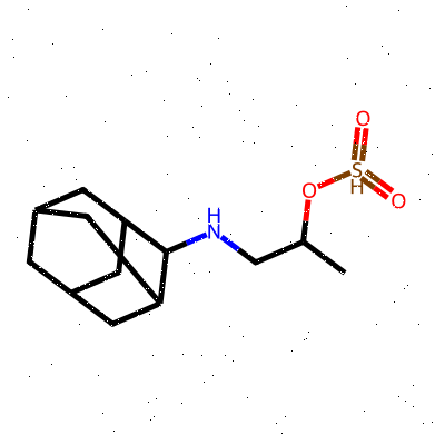 CC(CNC1C2CC3CC(C2)CC1C3)O[SH](=O)=O